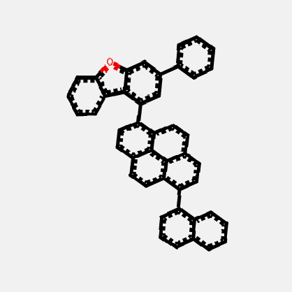 c1ccc(-c2cc(-c3ccc4ccc5c(-c6cccc7ccccc67)ccc6ccc3c4c65)c3c(c2)oc2ccccc23)cc1